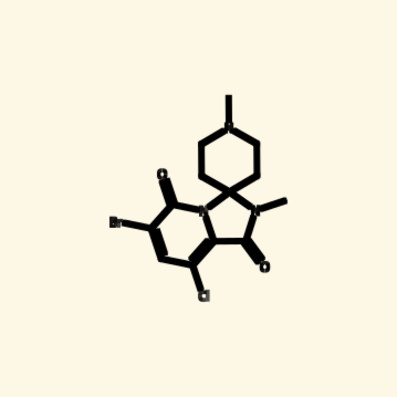 CN1CCC2(CC1)N(C)C(=O)c1c(Cl)cc(Br)c(=O)n12